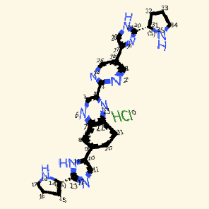 Cl.c1nc(-c2cnc3cc(-c4cnc([C@@H]5CCCN5)[nH]4)ccc3n2)ncc1-c1c[nH]c([C@@H]2CCCN2)n1